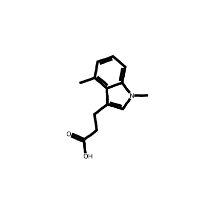 Cc1cccc2c1c(CCC(=O)O)cn2C